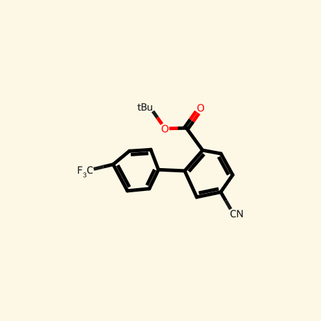 CC(C)(C)OC(=O)c1ccc(C#N)cc1-c1ccc(C(F)(F)F)cc1